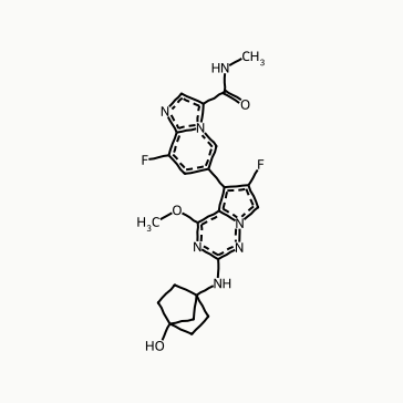 CNC(=O)c1cnc2c(F)cc(-c3c(F)cn4nc(NC56CCC(O)(CC5)C6)nc(OC)c34)cn12